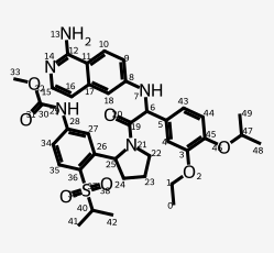 CCOc1cc(C(Nc2ccc3c(N)nccc3c2)C(=O)N2CCCC2c2cc(NC(=O)OC)ccc2S(=O)(=O)C(C)C)ccc1OC(C)C